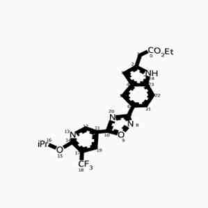 CCOC(=O)Cc1cc2cc(-c3noc(-c4cnc(OC(C)C)c(C(F)(F)F)c4)n3)ccc2[nH]1